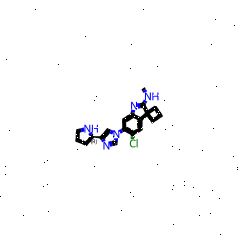 CNC1=Nc2cc(-n3cnc([C@H]4CCCN4)c3)c(Cl)cc2C12CCC2